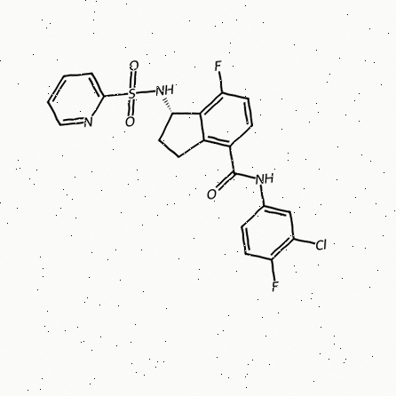 O=C(Nc1ccc(F)c(Cl)c1)c1ccc(F)c2c1CC[C@@H]2NS(=O)(=O)c1ccccn1